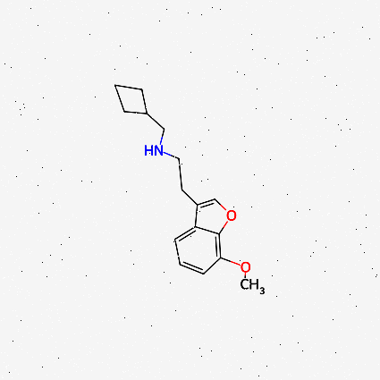 COc1cccc2c(CCNCC3CCC3)coc12